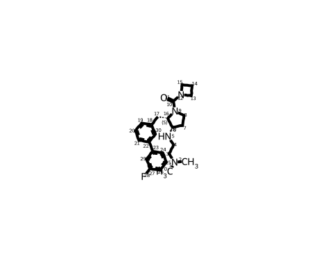 CN(C)CCN[C@H]1CCN(C(=O)N2CCC2)[C@H]1Cc1cccc(-c2cccc(F)c2)c1